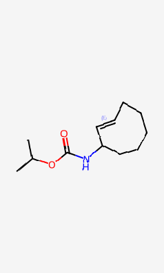 CC(C)OC(=O)NC1/C=C/CCCCC1